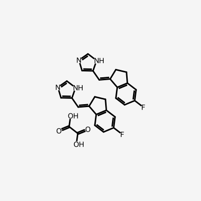 Fc1ccc2c(c1)CCC2=Cc1cnc[nH]1.Fc1ccc2c(c1)CCC2=Cc1cnc[nH]1.O=C(O)C(=O)O